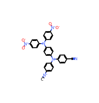 [C-]#[N+]c1ccc(N(c2ccc(C#N)cc2)c2ccc(N(c3ccc([N+](=O)[O-])cc3)c3ccc([N+](=O)[O-])cc3)cc2)cc1